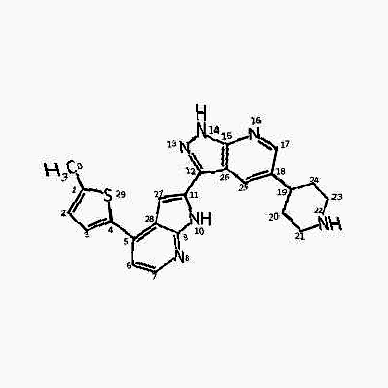 Cc1ccc(-c2ccnc3[nH]c(-c4n[nH]c5ncc(C6CCNCC6)cc45)cc23)s1